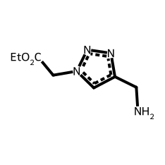 CCOC(=O)Cn1cc(CN)nn1